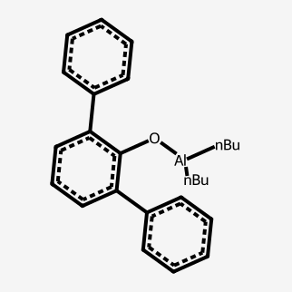 CCC[CH2][Al]([CH2]CCC)[O]c1c(-c2ccccc2)cccc1-c1ccccc1